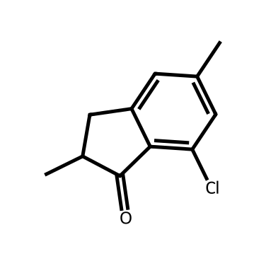 Cc1cc(Cl)c2c(c1)CC(C)C2=O